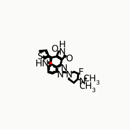 CN(C)[C@H]1CCN(c2nc(C3=C(c4c[nH]c5sccc45)C(=O)NC3=O)c3ccccc3n2)C[C@H]1F